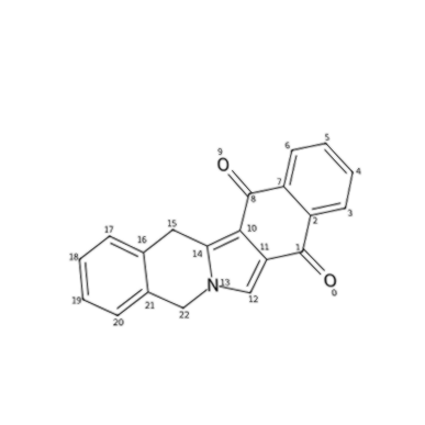 O=C1c2ccccc2C(=O)c2c1cn1c2Cc2ccccc2C1